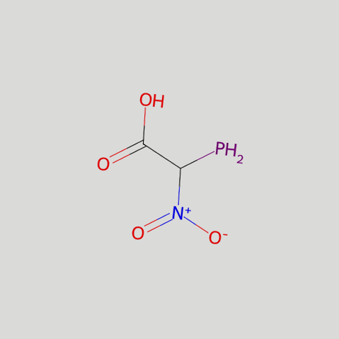 O=C(O)C(P)[N+](=O)[O-]